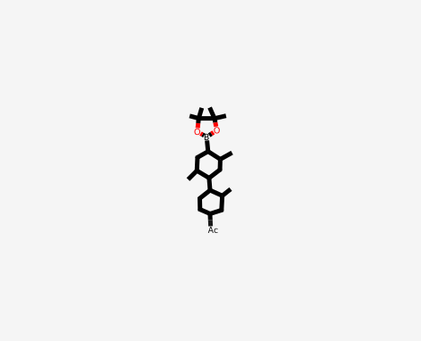 CC(=O)C1CCC(C2CC(C)C(B3OC(C)(C)C(C)(C)O3)CC2C)C(C)C1